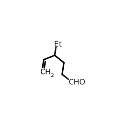 [CH2]CC(C=C)CCC=O